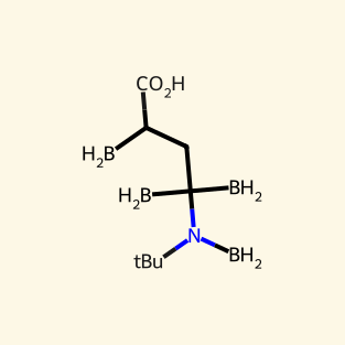 BC(CC(B)(B)N(B)C(C)(C)C)C(=O)O